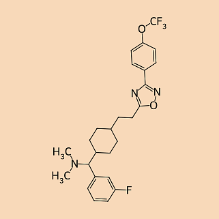 CN(C)C(c1cccc(F)c1)C1CCC(CCc2nc(-c3ccc(OC(F)(F)F)cc3)no2)CC1